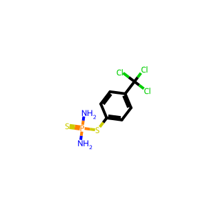 NP(N)(=S)Sc1ccc(C(Cl)(Cl)Cl)cc1